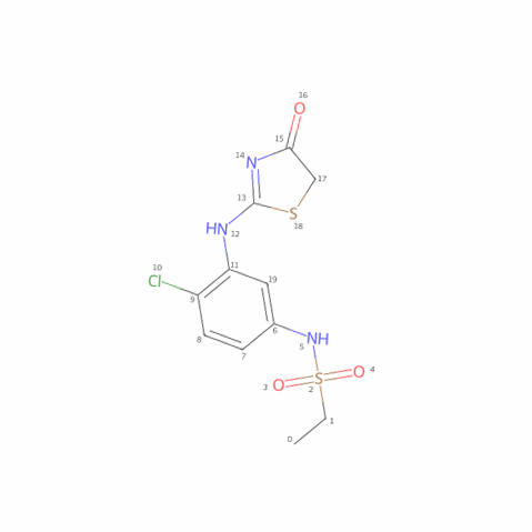 CCS(=O)(=O)Nc1ccc(Cl)c(NC2=NC(=O)CS2)c1